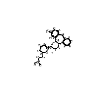 C[C@@H](C[C@@H]1c2ccccc2Cc2ccc(F)cc2[C@@H]1C)CN1CCCC(CCN(C)C)C1